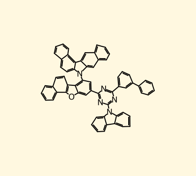 c1ccc(-c2cccc(-c3nc(-c4cc(-n5c6cc7ccccc7cc6c6c7ccccc7ccc65)c5c(c4)oc4c6ccccc6ccc45)nc(-n4c5ccccc5c5ccccc54)n3)c2)cc1